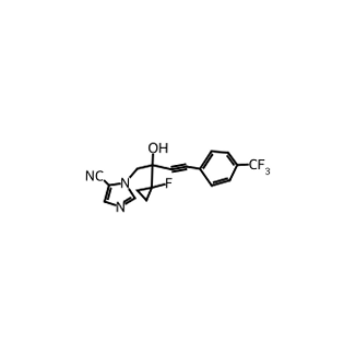 N#Cc1cncn1CC(O)(C#Cc1ccc(C(F)(F)F)cc1)C1(F)CC1